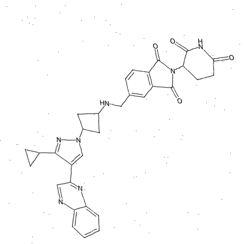 O=C1CCC(N2C(=O)c3ccc(CNC4CC(n5cc(-c6cnc7ccccc7n6)c(C6CC6)n5)C4)cc3C2=O)C(=O)N1